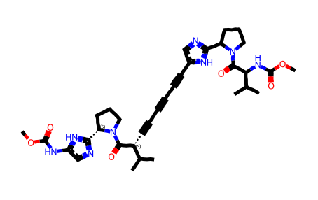 COC(=O)Nc1cnc([C@@H]2CCCN2C(=O)[C@H](C#CC#CC#Cc2cnc(C3CCCN3C(=O)C(NC(=O)OC)C(C)C)[nH]2)C(C)C)[nH]1